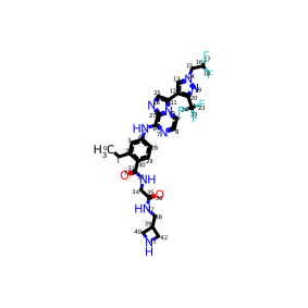 CCc1cc(Nc2nccn3c(-c4cn(CC(F)F)nc4C(F)(F)F)cnc23)ccc1C(=O)NCC(=O)NCC1CNC1